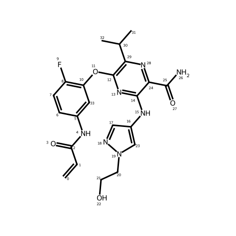 C=CC(=O)Nc1ccc(F)c(Oc2nc(Nc3cnn(CCO)c3)c(C(N)=O)nc2C(C)C)c1